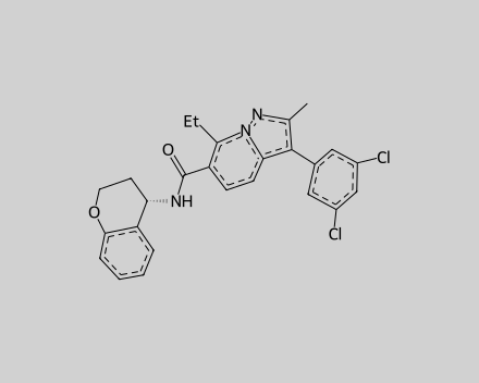 CCc1c(C(=O)N[C@H]2CCOc3ccccc32)ccc2c(-c3cc(Cl)cc(Cl)c3)c(C)nn12